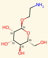 NCCO[C@H]1O[C@H](CO)[C@@H](O)[C@H](O)[C@@H]1O